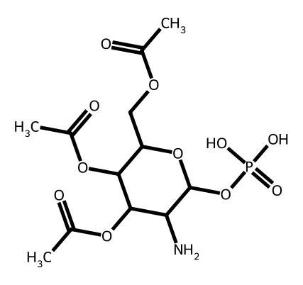 CC(=O)OCC1OC(OP(=O)(O)O)C(N)C(OC(C)=O)C1OC(C)=O